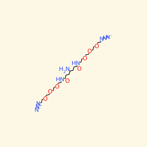 [N-]=[N+]=NCCOCCOCCOCCNC(=O)CCC(N)CCC(=O)NCCOCCOCCOCCN=[N+]=[N-]